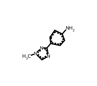 Cn1cnc(-c2ccc(N)cc2)n1